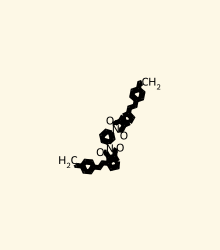 C=Cc1ccc(CCC2=CC3CC2C2C(=O)N(c4cccc(N5C(=O)C6C7C=CC(CCc8ccc(C=C)cc8)(C7)C6C5=O)c4)C(=O)C32)cc1